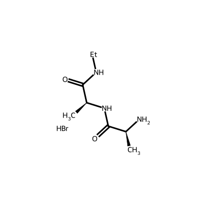 Br.CCNC(=O)[C@H](C)NC(=O)[C@H](C)N